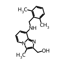 Cc1cccc(C)c1CNc1cccn2c(C)c(CO)nc12